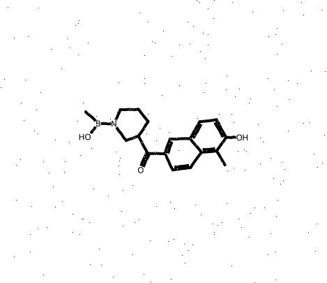 CB(O)N1CCCC(C(=O)c2ccc3c(C)c(O)ccc3c2)C1